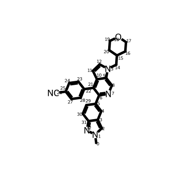 Cn1cc2cc(-c3ncc4c(ccn4CC4CCOCC4)c3-c3ccc(C#N)cc3)ccc2n1